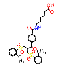 Cc1ccccc1S(=O)(=O)CC(CS(=O)(=O)c1ccccc1C)C(=O)c1ccc(C(=O)NCCCCCC(=O)O)cc1